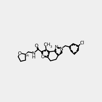 Cc1c(C(=O)NC[C@H]2CCCO2)oc2c1-c1nn(Cc3cccc(Cl)c3)cc1CC2